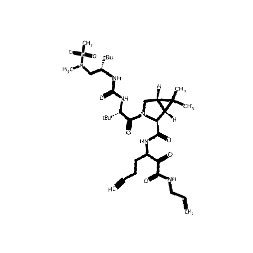 C#CCCC(NC(=O)[C@@H]1[C@@H]2[C@H](CN1C(=O)[C@@H](NC(=O)N[C@H](CN(C)S(C)(=O)=O)C(C)(C)C)C(C)(C)C)C2(C)C)C(=O)C(=O)NCC=C